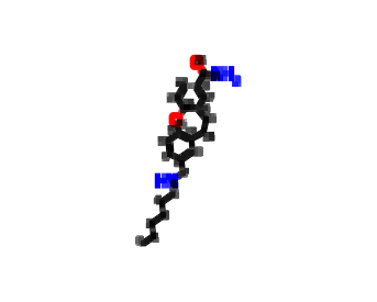 CCCCCCNCc1ccc2c(c1)CCc1cc(C(N)=O)ccc1O2